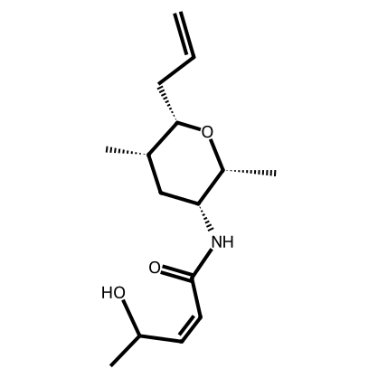 C=CC[C@@H]1O[C@H](C)[C@H](NC(=O)/C=C\C(C)O)C[C@@H]1C